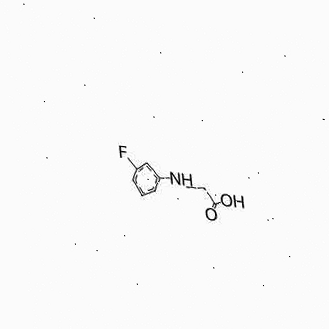 O=C(O)CCNc1cccc(F)c1